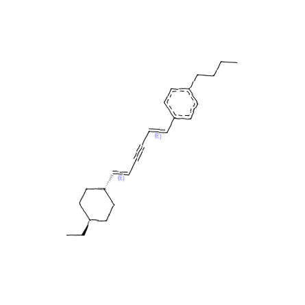 CCCCc1ccc(/C=C/C#C/C=C/[C@H]2CC[C@H](CC)CC2)cc1